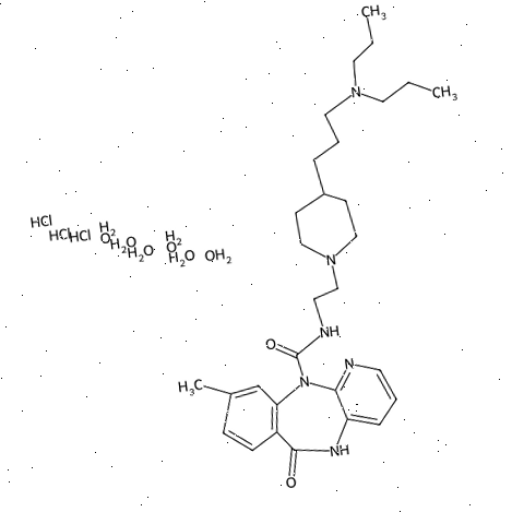 CCCN(CCC)CCCC1CCN(CCNC(=O)N2c3cc(C)ccc3C(=O)Nc3cccnc32)CC1.Cl.Cl.Cl.O.O.O.O.O.O